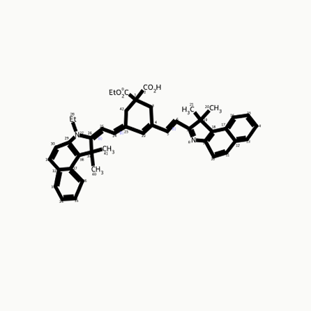 CCOC(=O)C1(C(=O)O)CC(/C=C/C2=Nc3ccc4ccccc4c3C2(C)C)=CC(=C/C=C2/N(CC)c3ccc4ccccc4c3C2(C)C)/C1